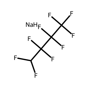 F[C](F)C(F)(F)C(F)(F)C(F)(F)F.[NaH]